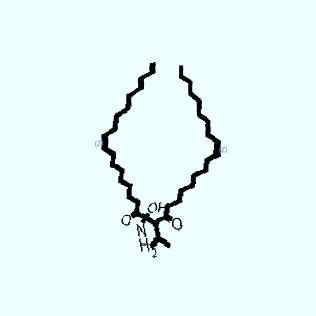 CCCCCCCC/C=C\CCCCCCCC(=O)C(C(C)C)C(N)(O)C(=O)CCCCCCC/C=C\CCCCCCCC